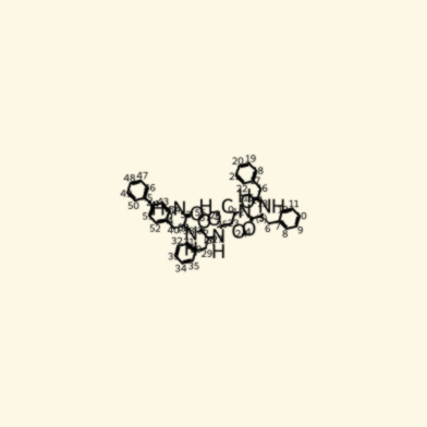 CC(NC(=O)[C@H](Cc1ccccc1)NC(=O)Cc1ccccc1)C(=O)C(=O)N[C@@H](Cc1ccccc1)C(=O)N[C@@H](Cc1ccc(-c2ccccc2)cc1)C(N)=O